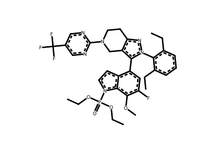 CCOP(=O)(OCC)n1ccc2c(-c3c4c(nn3-c3c(CC)cccc3CC)CCN(c3ncc(C(F)(F)F)cn3)C4)cc(F)c(OC)c21